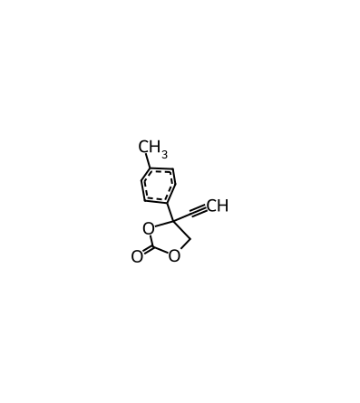 C#CC1(c2ccc(C)cc2)COC(=O)O1